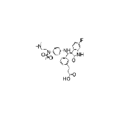 CN(C)CCN(c1ccc(NC(=C2C(=O)Nc3cc(F)ccc32)c2cccc(CCC(=O)O)c2)cc1)S(C)(=O)=O